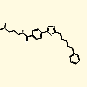 CN(C)CCCNC(=O)c1ccc(-c2nnc(CCCCCc3ccccc3)o2)cc1